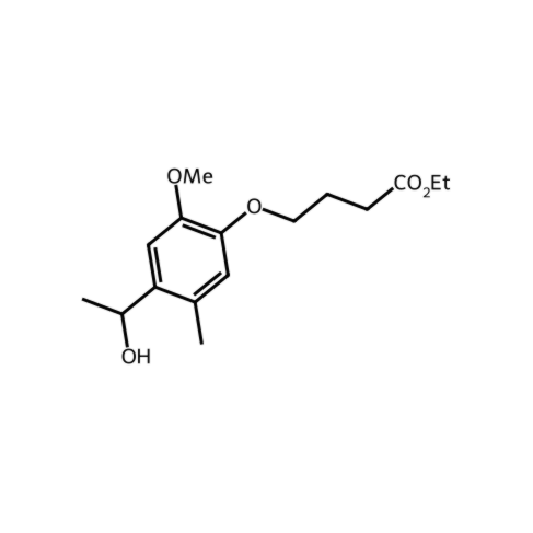 CCOC(=O)CCCOc1cc(C)c(C(C)O)cc1OC